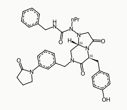 CCCN(C(=O)NCc1ccccc1)N1CC(=O)N2[C@@H](Cc3ccc(O)cc3)C(=O)N(Cc3cccc(N4CCCC4=O)c3)C[C@@H]21